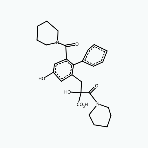 O=C(c1cc(O)cc(CC(O)(C(=O)O)C(=O)N2CCCCC2)c1-c1ccccc1)N1CCCCC1